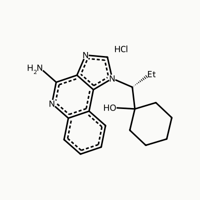 CC[C@@H](n1cnc2c(N)nc3ccccc3c21)C1(O)CCCCC1.Cl